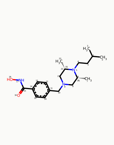 CC(C)CCN1[C@H](C)CN(Cc2ccc(C(=O)NO)cc2)C[C@@H]1C